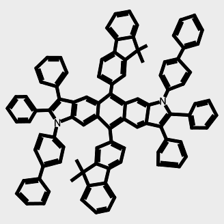 CC1(C)c2ccccc2-c2ccc(-c3c4cc5c(-c6ccccc6)c(-c6ccccc6)n(-c6ccc(-c7ccccc7)cc6)c5cc4c(-c4ccc5c(c4)C(C)(C)c4ccccc4-5)c4cc5c(-c6ccccc6)c(-c6ccccc6)n(-c6ccc(-c7ccccc7)cc6)c5cc34)cc21